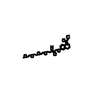 COCCOCCOCCOCCNC(=O)COc1ccc2c(c1)CCCN2C(=O)CCl